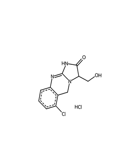 Cl.O=C1NC2=Nc3cccc(Cl)c3CN2C1CO